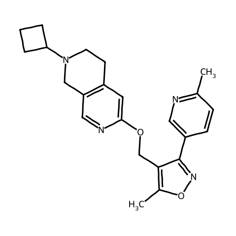 Cc1ccc(-c2noc(C)c2COc2cc3c(cn2)CN(C2CCC2)CC3)cn1